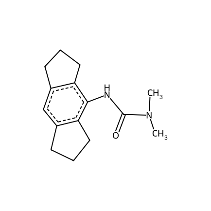 CN(C)C(=O)Nc1c2c(cc3c1CCC3)CCC2